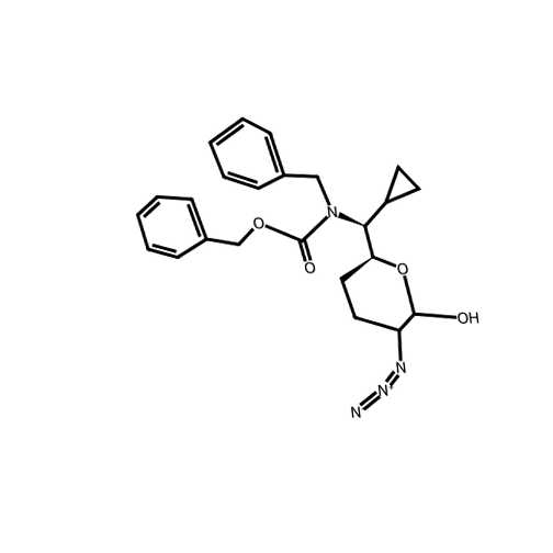 [N-]=[N+]=NC1CC[C@@H]([C@H](C2CC2)N(Cc2ccccc2)C(=O)OCc2ccccc2)OC1O